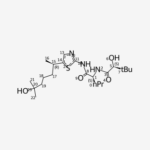 CCC[C@H](NC(=O)[C@@H](O)C(C)(C)C)C(=O)Nc1ncc([C@H](C)CCCC(C)(C)O)s1